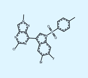 Cc1ccc(S(=O)(=O)n2cc(-c3nc(Cl)nc4cn(C)nc34)c3cc(Br)c(F)cc32)cc1